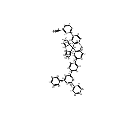 N#Cc1cccc(-c2ccc3c(c2)C2(c4cc(-c5ccc(-c6cc(-c7ccccc7)nc(-c7ccccc7)n6)cc5)ccc4S3)c3ccccc3-c3ccccc32)c1